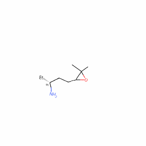 CC[C@@H](N)CCC1OC1(C)C